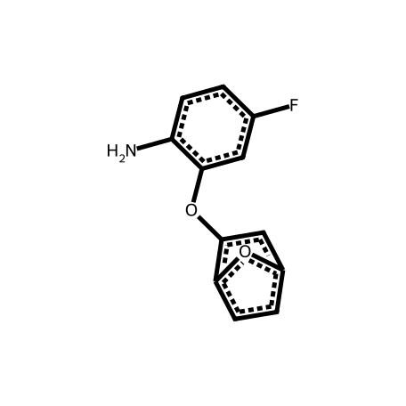 Nc1ccc(F)cc1Oc1cc2ccc1o2